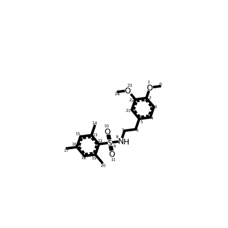 COc1ccc(CCNS(=O)(=O)c2c(C)cc(C)cc2C)cc1OC